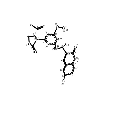 C=C(C)[C@H]1COC(=O)N1c1nc(N[C@@H](C)c2cc3cc(Cl)ccc3[nH]c2=O)nc(OC(F)(F)F)n1